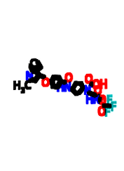 Cc1cc(COc2ccc(C(=O)NC3CCC(N(CC(=O)NOC(=O)C(F)(F)F)C(=O)O)CC3)cc2)c2ccccc2n1